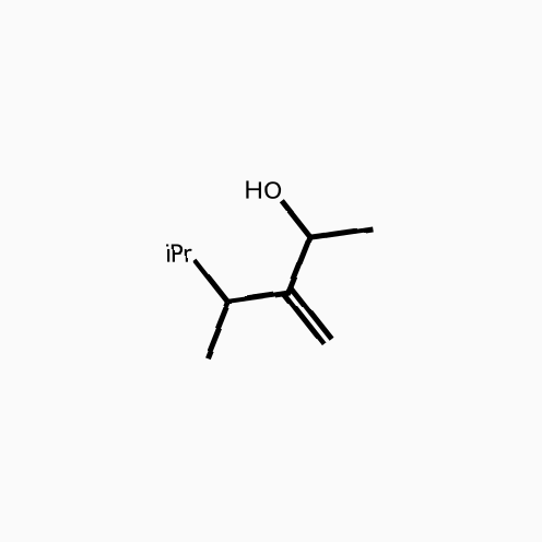 C=C(C(C)O)C(C)C(C)C